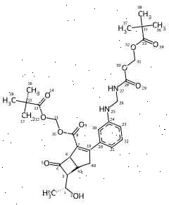 C[C@@H](O)[C@H]1C(=O)C2C(C(=O)OCOC(=O)C(C)(C)C)=C(c3cccc(NCNC(=O)OCOC(=O)C(C)(C)C)c3)CC21